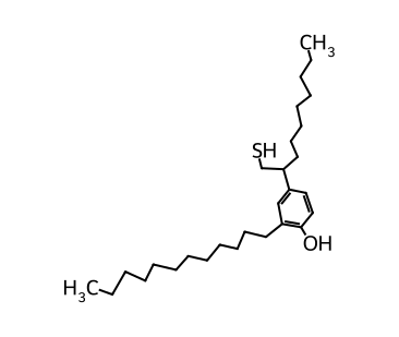 CCCCCCCCCCCCc1cc(C(CS)CCCCCCCC)ccc1O